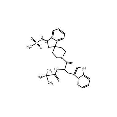 CC(C)(N)C(=O)NC(Cc1c[nH]c2ccccc12)C(=O)N1CCC2(CC1)C[C@@H](NS(C)(=O)=O)c1ccccc12